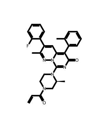 C=CC(=O)N1CCN(c2nc(=O)c(-c3ccccc3C)c3cc(-c4ccccc4F)c(C)nn23)[C@@H](C)C1